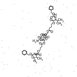 CC(C)[C@H](NC(=O)OCc1ccccc1)C(=O)OCCCC(=O)OCOP(=O)(OCOC(=O)CCCOC(=O)[C@@H](NC(=O)OCc1ccccc1)C(C)C)C(O)(CCCN)P(=O)(O)O